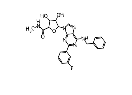 CNC(=O)C1OC(n2cnc3c(NCc4ccccc4)nc(-c4cccc(F)c4)nc32)C(O)C1O